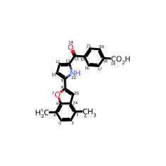 Cc1ccc(C)c2oc(-c3ccc(C(=O)c4ccc(C(=O)O)cc4)[nH]3)cc12